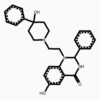 O=C1NC(c2ccccc2)N(CCN2CCC(O)(c3ccccc3)CC2)c2ccc(O)cc21